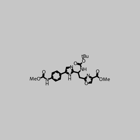 COC(=O)Nc1ccc(-c2cnc(C(Cc3nc(C(=O)OC)co3)NC(=O)OC(C)(C)C)[nH]2)cc1